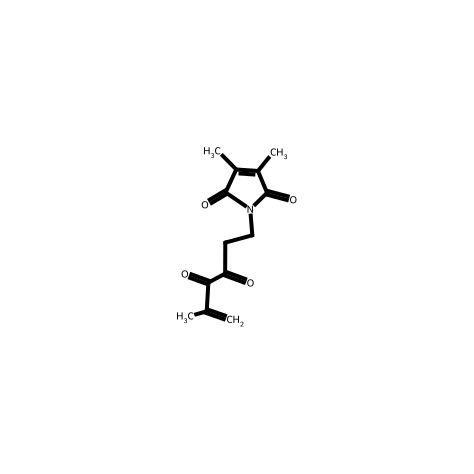 C=C(C)C(=O)C(=O)CCN1C(=O)C(C)=C(C)C1=O